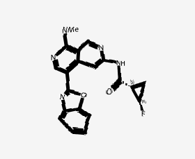 CNc1ncc(-c2nc3ccccc3o2)c2cc(NC(=O)[C@@H]3C[C@H]3F)ncc12